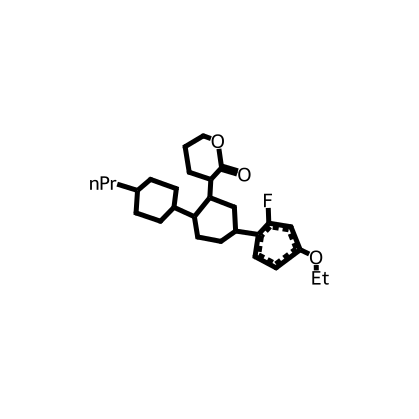 CCCC1CCC(C2CCC(c3ccc(OCC)cc3F)CC2C2CCCOC2=O)CC1